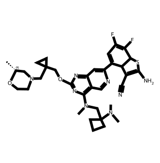 C[C@@H]1CN(CC2(COc3nc(N(C)CC4(N(C)C)CCC4)c4cnc(C5=CC(F)=C(F)C6SC(N)=C(C#N)C56)cc4n3)CC2)CCO1